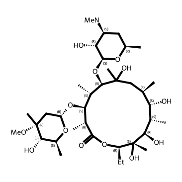 CC[C@H]1OC(=O)[C@H](C)[C@@H](O[C@H]2C[C@@](C)(OC)[C@@H](O)[C@H](C)O2)[C@H](C)[C@@H](O[C@@H]2O[C@H](C)C[C@H](NC)[C@H]2O)C(C)(O)C[C@@H](C)[C@H](O)[C@H](C)[C@@H](O)[C@]1(C)O